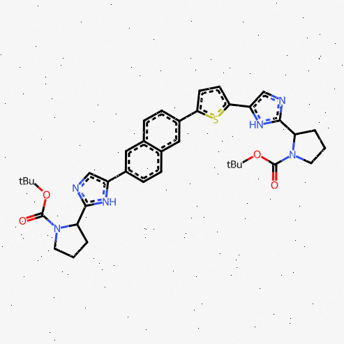 CC(C)(C)OC(=O)N1CCCC1c1ncc(-c2ccc3cc(-c4ccc(-c5cnc(C6CCCN6C(=O)OC(C)(C)C)[nH]5)s4)ccc3c2)[nH]1